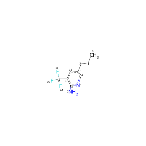 CCCc1cnc(N)c(C(F)(F)F)c1